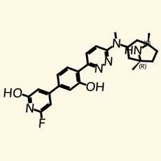 CN(c1ccc(-c2ccc(-c3cc(O)nc(F)c3)cc2O)nn1)C1C[C@]2(C)CC[C@](C)(C1)N2